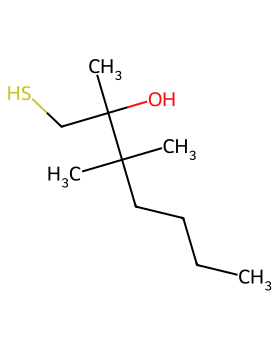 CCCCC(C)(C)C(C)(O)CS